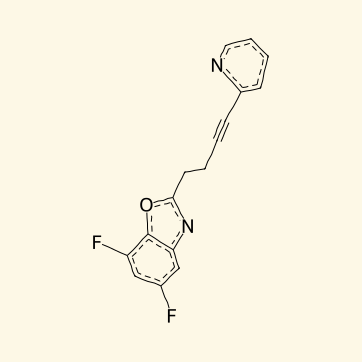 Fc1cc(F)c2oc(CCC#Cc3ccccn3)nc2c1